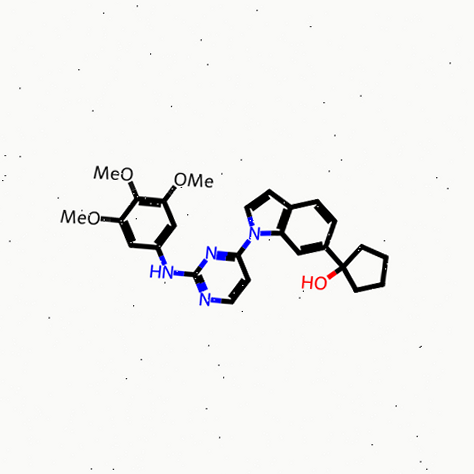 COc1cc(Nc2nccc(-n3ccc4ccc(C5(O)CCCC5)cc43)n2)cc(OC)c1OC